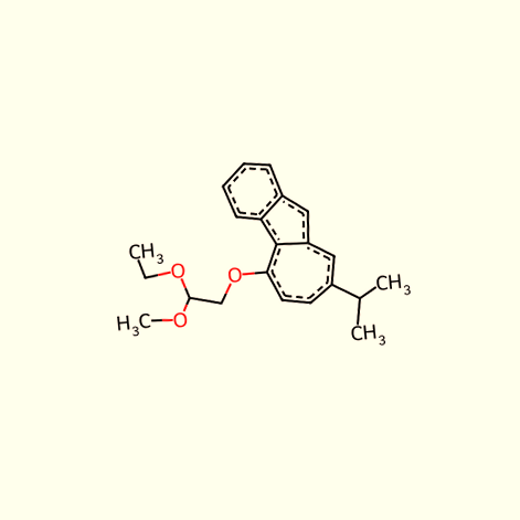 CCOC(COc1ccc(C(C)C)cc2cc3ccccc3c1-2)OC